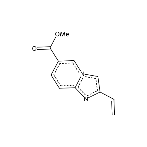 C=Cc1cn2cc(C(=O)OC)ccc2n1